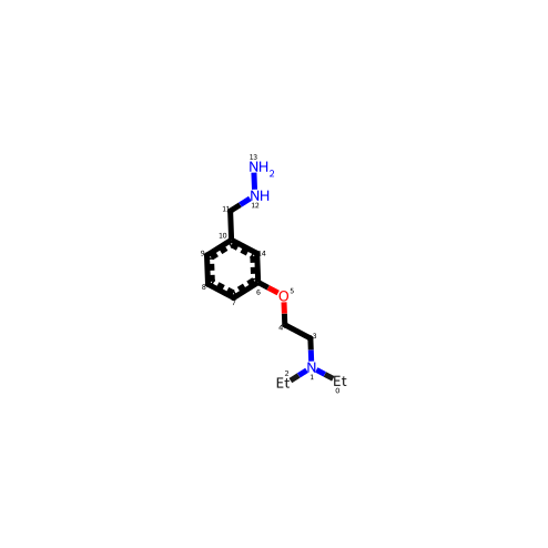 CCN(CC)CCOc1cccc(CNN)c1